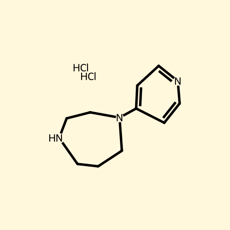 Cl.Cl.c1cc(N2CCCNCC2)ccn1